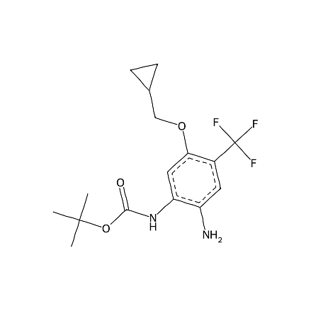 CC(C)(C)OC(=O)Nc1cc(OCC2CC2)c(C(F)(F)F)cc1N